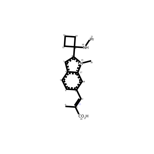 C/C(=C\c1ccc2cc(C3(NC(C)C)CCC3)n(C)c2c1)C(=O)O